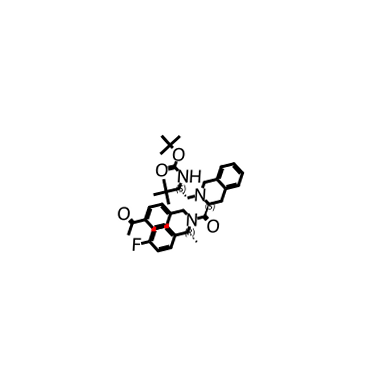 CC(=O)c1ccc(CN(C(=O)[C@@H]2Cc3ccccc3CN2C[C@@H](NC(=O)OC(C)(C)C)C(C)(C)C)[C@H](C)c2ccc(F)cc2)cc1